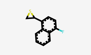 Fc1ccc(C2CS2)c2ccccc12